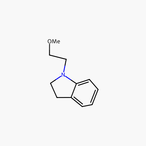 COCCN1CCc2ccccc21